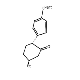 CCCCCc1ccc([C@H]2CC[C@H](CC)CC2=O)cc1